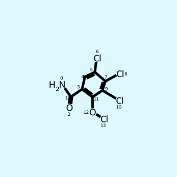 NC(=O)c1cc(Cl)c(Cl)c(Cl)c1OCl